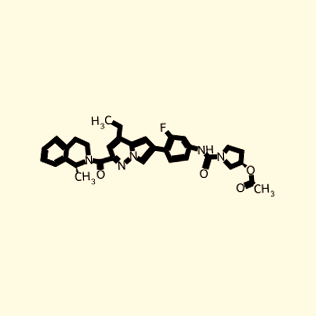 CCc1cc(C(=O)N2CCc3ccccc3[C@H]2C)nn2cc(-c3ccc(NC(=O)N4CC[C@@H](OC(C)=O)C4)cc3F)cc12